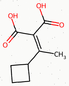 CC(=C(C(=O)O)C(=O)O)C1CCC1